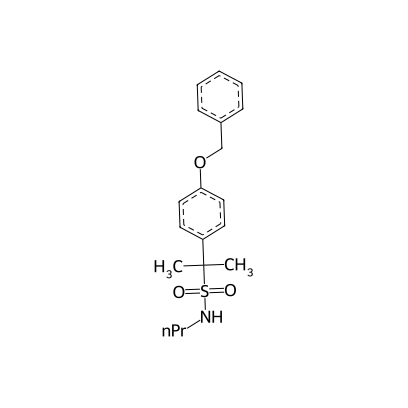 CCCNS(=O)(=O)C(C)(C)c1ccc(OCc2ccccc2)cc1